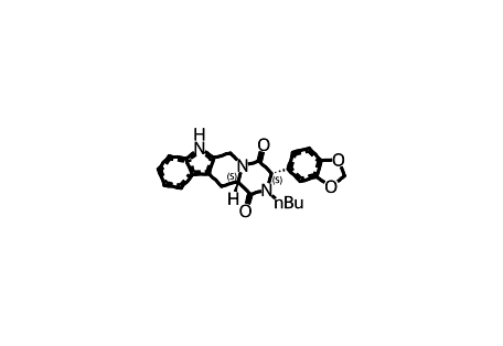 CCCCN1C(=O)[C@@H]2Cc3c([nH]c4ccccc34)CN2C(=O)[C@@H]1c1ccc2c(c1)OCO2